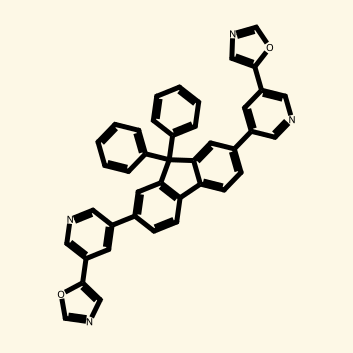 c1ccc(C2(c3ccccc3)c3cc(-c4cncc(-c5cnco5)c4)ccc3-c3ccc(-c4cncc(-c5cnco5)c4)cc32)cc1